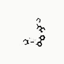 CCN1CCc2c(nc(C(=O)Nc3cccc(-c4cccc(Nc5nccc6cc(CN7CCCC7)cnc56)c4C)c3C)n2C)C1